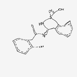 CS1(O)NC(=NC(=O)c2ccccc2O)c2ccccc21